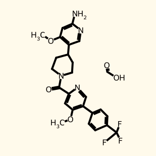 COc1cc(C(=O)N2CCC(c3cnc(N)cc3OC)CC2)ncc1-c1ccc(C(F)(F)F)cc1.O=CO